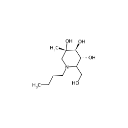 CCCCN1C[C@](C)(O)[C@@H](O)[C@H](O)C1CO